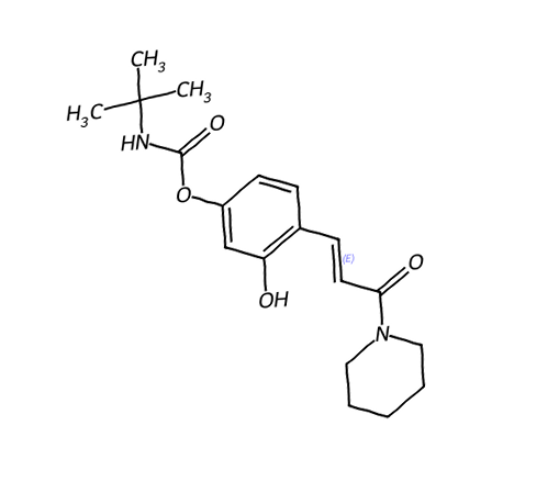 CC(C)(C)NC(=O)Oc1ccc(/C=C/C(=O)N2CCCCC2)c(O)c1